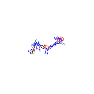 O=C1CCC(Nc2ccc(N3CCN(CCN4CCC(NC(=O)c5ccc(Nc6ncc(F)c(Nc7ccc(C(=O)Nc8ccccc8Cl)cc7)n6)cc5)CC4)CC3)cc2)C(=O)N1